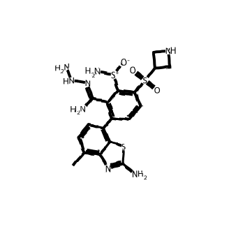 Cc1ccc(-c2ccc(S(=O)(=O)C3CNC3)c([S+](N)[O-])c2/C(N)=N/NN)c2sc(N)nc12